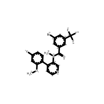 COc1cc(F)ccc1-c1ccncc1N(C)C(=O)c1cc(Br)cc(C(F)(F)F)c1